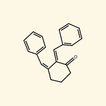 O=C1CCCC(=Cc2ccccc2)C1=Cc1ccccc1